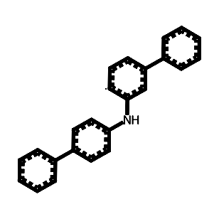 [c]1ccc(-c2ccccc2)cc1Nc1ccc(-c2ccccc2)cc1